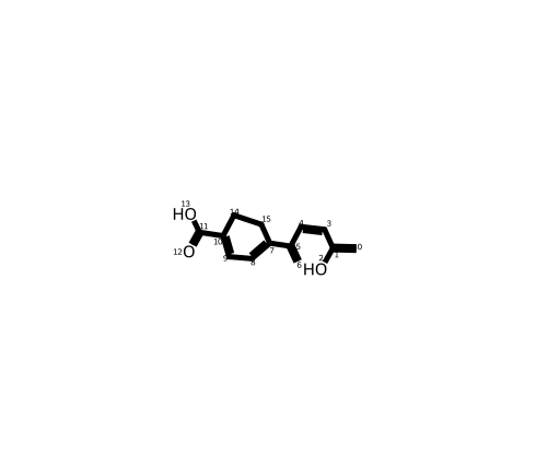 C=C(O)/C=C\C(=C)C1=CC=C(C(=O)O)CC1